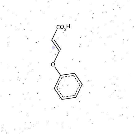 O=C(O)/C=[C]/Oc1ccccc1